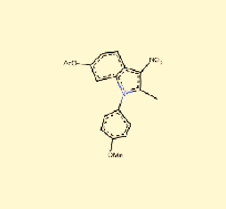 COc1ccc(-n2c(C)c([N+](=O)[O-])c3ccc(OC(C)=O)cc32)cc1